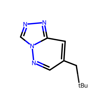 CC(C)(C)Cc1cnn2cnnc2c1